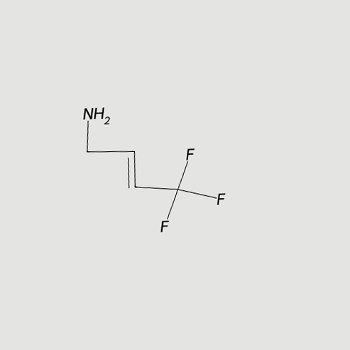 NCC=CC(F)(F)F